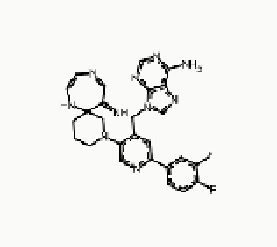 N=C1C=NC=CNC12CCCN(c1cnc(-c3ccc(F)c(F)c3)cc1Cn1cnc3c(N)ncnc31)C2